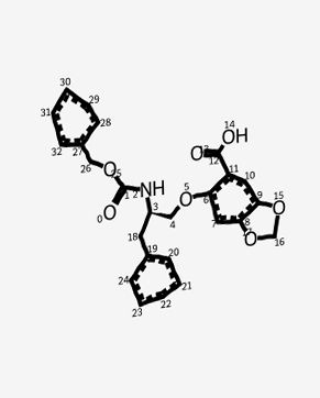 O=C(N[C@@H](COc1cc2c(cc1C(=O)O)OCO2)Cc1ccccc1)OCc1ccccc1